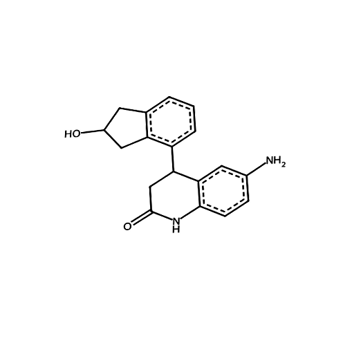 Nc1ccc2c(c1)C(c1cccc3c1CC(O)C3)CC(=O)N2